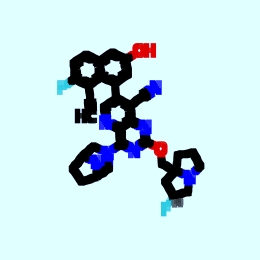 C#Cc1c(F)ccc2cc(O)cc(-c3cnc4c(N5CC6CCC(C5)N6)nc(OCC56CCCN5C[C@H](F)C6)nc4c3C#N)c12